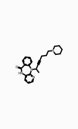 CC(C#CCCCN1CCCCC1)N1c2ccccc2C(=O)Nc2cccnc21